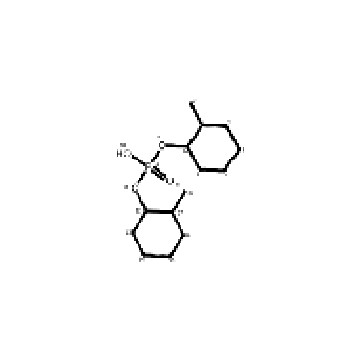 CC1CCCCC1OP(=O)(O)OC1CCCCC1C